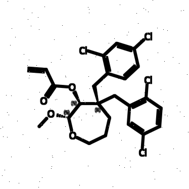 C=CC(=O)O[C@@H]1[C@@H](OC)OCCC[C@@]1(Cc1ccc(Cl)cc1Cl)Cc1cc(Cl)ccc1Cl